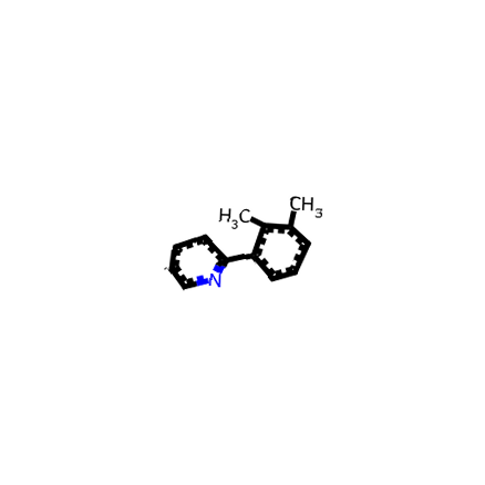 Cc1cccc(-c2cc[c]cn2)c1C